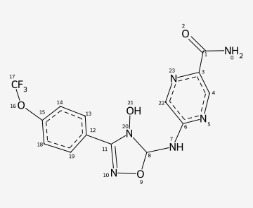 NC(=O)c1cnc(NC2ON=C(c3ccc(OC(F)(F)F)cc3)N2O)cn1